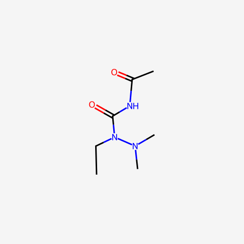 CCN(C(=O)NC(C)=O)N(C)C